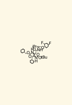 CC(C)[C@@H](COc1ccc(F)cc1F)NC(=O)C[C@H](NC(=O)OCc1ccccc1)[C@H](Cc1ccccc1)NC(=O)OC(C)(C)C